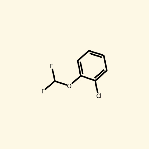 FC(F)Oc1ccccc1Cl